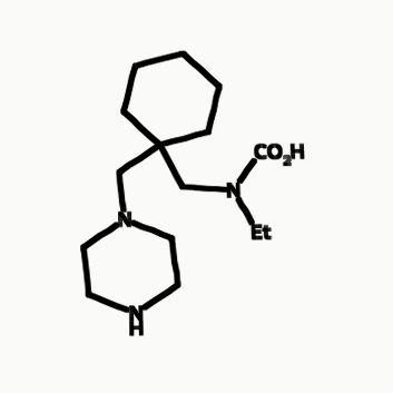 CCN(CC1(CN2CCNCC2)CCCCC1)C(=O)O